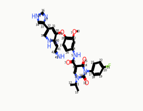 COc1cc(NC(=O)c2cn(C(C)C)c(=O)n(-c3ccc(F)cc3)c2=O)ccc1OC1=CC(c2c[nH]cn2)=CN/C1=C\C=N